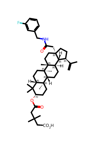 C=C(C)[C@@H]1CC[C@]2(CC(=O)NCc3cccc(F)c3)CC[C@]3(C)[C@H](CC[C@@H]4[C@@]5(C)CC[C@H](OC(=O)CC(C)(C)CC(=O)O)C(C)(C)[C@@H]5CC[C@]43C)[C@@H]12